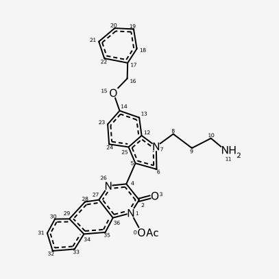 CC(=O)On1c(=O)c(-c2cn(CCCN)c3cc(OCc4ccccc4)ccc23)nc2cc3ccccc3cc21